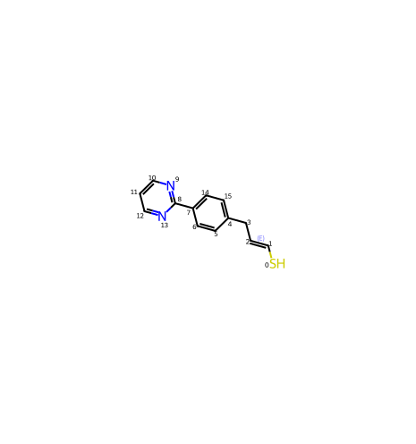 S/C=C/Cc1ccc(-c2ncccn2)cc1